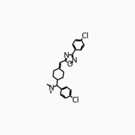 CN(C)C(c1ccc(Cl)cc1)C1CCC(=Cc2nc(-c3ccc(Cl)cc3)no2)CC1